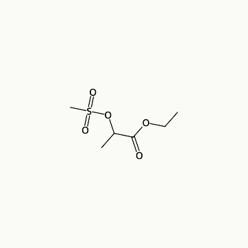 CCOC(=O)C(C)OS(C)(=O)=O